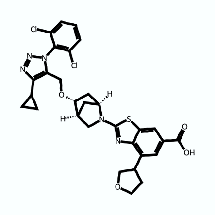 O=C(O)c1cc(C2CCOC2)c2nc(N3C[C@@H]4C[C@H]3C[C@H]4OCc3c(C4CC4)nnn3-c3c(Cl)cccc3Cl)sc2c1